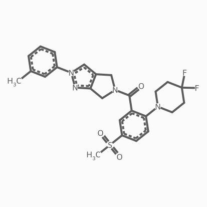 Cc1cccc(-n2cc3c(n2)CN(C(=O)c2cc(S(C)(=O)=O)ccc2N2CCC(F)(F)CC2)C3)c1